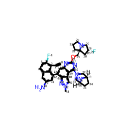 C#Cc1c(F)ccc2cc(N)cc(-c3cc4nc(OC[C@@]56CCCN5C[C@H](F)C6)nc(N5C[C@H]6CC[C@@H](C5)N6)c4c4cn(C)nc34)c12